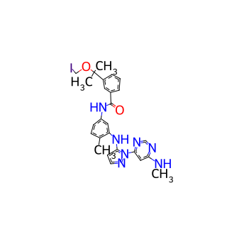 CNc1cc(-n2nccc2Nc2cc(NC(=O)c3cccc(C(C)(C)OCI)c3)ccc2C)ncn1